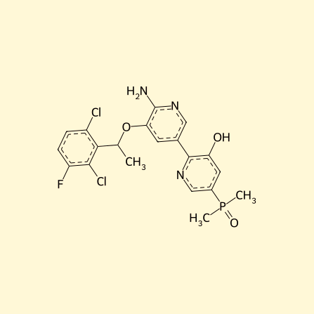 CC(Oc1cc(-c2ncc(P(C)(C)=O)cc2O)cnc1N)c1c(Cl)ccc(F)c1Cl